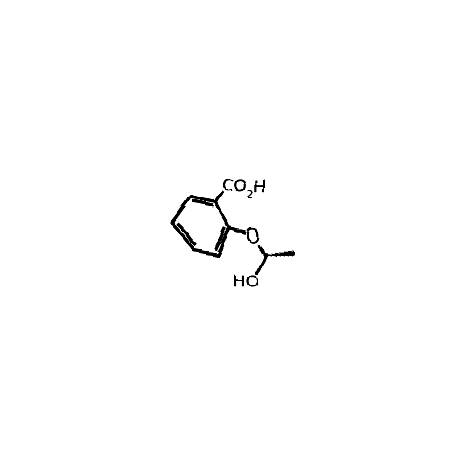 C[C@@H](O)Oc1ccccc1C(=O)O